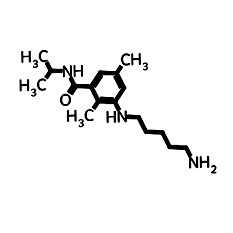 Cc1cc(NCCCCCN)c(C)c(C(=O)NC(C)C)c1